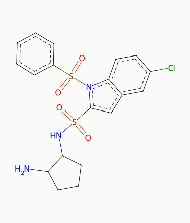 NC1CCCC1NS(=O)(=O)c1cc2cc(Cl)ccc2n1S(=O)(=O)c1ccccc1